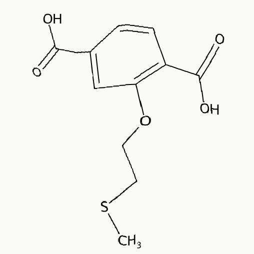 CSCCOc1cc(C(=O)O)ccc1C(=O)O